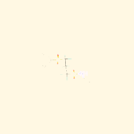 CC(C)(C)NS(=O)(=O)C(F)(F)C(F)(F)C(F)(F)S(=O)(=O)C(C#N)C#N